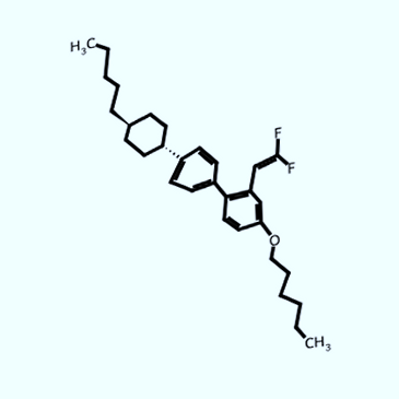 CCCCCCOc1ccc(-c2ccc([C@H]3CC[C@H](CCCCC)CC3)cc2)c(C=C(F)F)c1